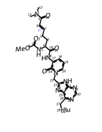 COC(=O)NC(CC/C=C/C(=O)N(C)C)C(=O)Nc1cccn(Cc2nc3c(CC(C)(C)C)ncnc3[nH]2)c1=O